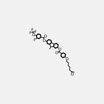 CC1c2cc(OC(=O)c3ccc(OCCCCCC4CO4)cc3)ccc2-c2ccc(OC(=O)c3ccc(OC(F)(F)F)c(F)c3)cc21